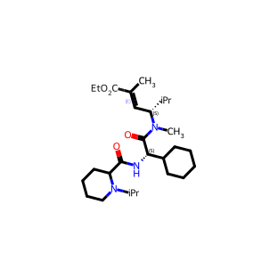 CCOC(=O)/C(C)=C/[C@H](C(C)C)N(C)C(=O)[C@@H](NC(=O)C1CCCCN1C(C)C)C1CCCCC1